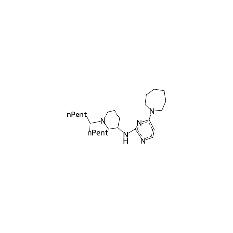 CCCCCC(CCCCC)N1CCCC(Nc2nccc(N3CCCCCC3)n2)C1